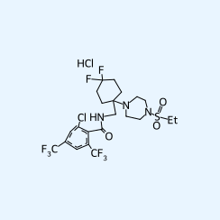 CCS(=O)(=O)N1CCN(C2(CNC(=O)c3c(Cl)cc(C(F)(F)F)cc3C(F)(F)F)CCC(F)(F)CC2)CC1.Cl